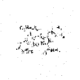 CN(C)Cc1nc(C(N)=O)nn1-c1ccc([N+](=O)[O-])cc1C(=O)c1ccccc1F